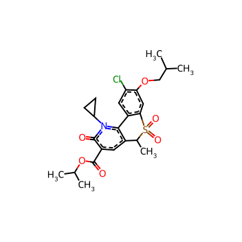 CC(C)COc1cc2c(cc1Cl)-c1c(cc(C(=O)OC(C)C)c(=O)n1C1CC1)C(C)S2(=O)=O